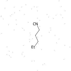 [C-]#[N+]CCCCC